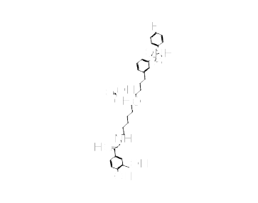 CC(=O)O.O=S(=O)(Nc1ccc(F)cc1)c1cccc(CCCCOCCCCCCNC[C@H](O)c2ccc(O)c(CO)c2)c1